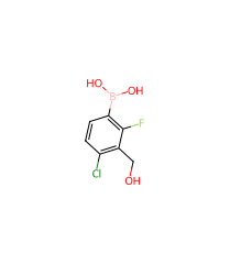 OCc1c(Cl)ccc(B(O)O)c1F